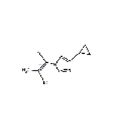 CC/C(C)=C(/CC)n1cnc(C2CC2)c1